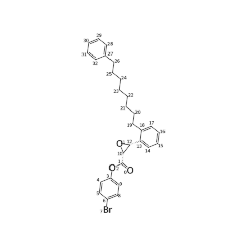 O=C(Oc1ccc(Br)cc1)[C@@H]1O[C@@H]1c1ccccc1CCCCCCCCc1ccccc1